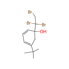 CC(C)(C)C1=CC=CC(O)(C(Br)(Br)CBr)C1